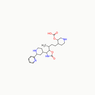 CC(CCC1CCNCC1OC(=O)O)C1OC(=O)NC1C1CCNC(c2ccccn2)C1